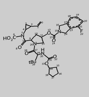 C=CC1CC1N(C(=O)O)C(=O)C1CC(OC(=O)N2Cc3cccc(F)c3C2)CN1C(=O)C(NC(=O)OC1CCCC1)C(C)(C)C